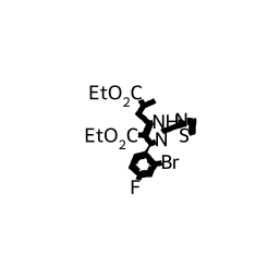 CCOC(=O)C1=C(CC(C)C(=O)OCC)NC(c2nccs2)=N[C@H]1c1ccc(F)cc1Br